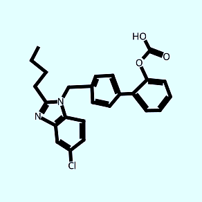 CCCCc1nc2cc(Cl)ccc2n1Cc1ccc(-c2ccccc2OC(=O)O)cc1